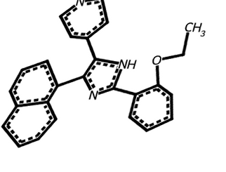 CCOc1ccccc1-c1nc(-c2cccc3ccccc23)c(-c2ccncc2)[nH]1